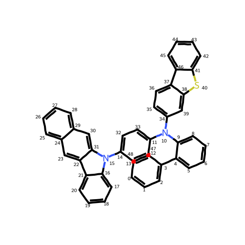 c1ccc(-c2ccccc2N(c2ccc(-n3c4ccccc4c4cc5ccccc5cc43)cc2)c2ccc3c(c2)sc2ccccc23)cc1